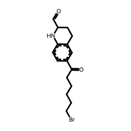 O=CC1CCc2cc(C(=O)CCCCCBr)ccc2N1